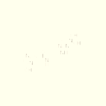 Cc1ccnc(SCC(=O)NC2CCC(Nc3nc4c(c(N(C)C)n3)CCCC4)CC2)n1